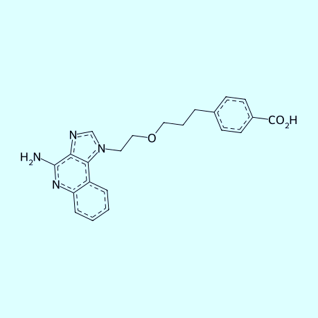 Nc1nc2ccccc2c2c1ncn2CCOCCCc1ccc(C(=O)O)cc1